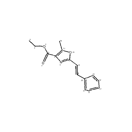 CCOC(=O)c1nc(/C=C/c2ccccc2)oc1C